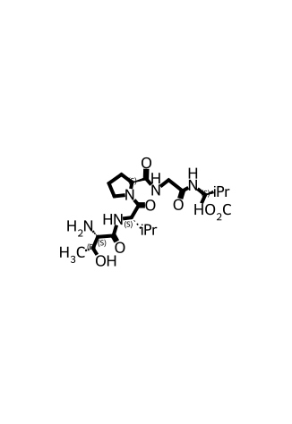 CC(C)[C@H](NC(=O)CNC(=O)[C@@H]1CCCN1C(=O)[C@@H](NC(=O)[C@@H](N)[C@@H](C)O)C(C)C)C(=O)O